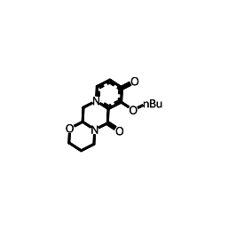 CCCCOc1c2n(ccc1=O)CC1OCCCN1C2=O